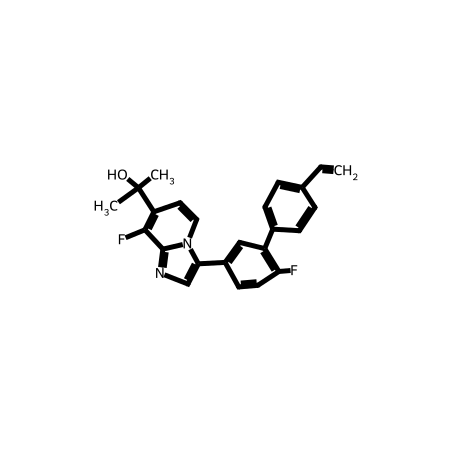 C=Cc1ccc(-c2cc(-c3cnc4c(F)c(C(C)(C)O)ccn34)ccc2F)cc1